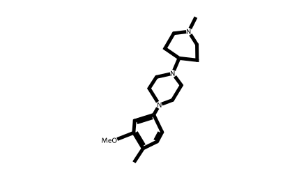 COc1cc(N2CCN(C3CCN(C)CC3)CC2)ccc1C